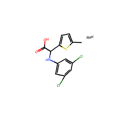 Cc1ccc(C(Nc2cc(Cl)cc(Cl)c2)C(=O)O)s1.[NaH]